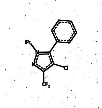 CC(C)n1nc(C(F)(F)F)c(Cl)c1-c1ccccc1